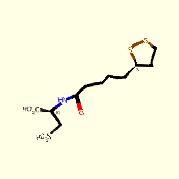 O=C(CCCC[C@@H]1CCSS1)N[C@@H](CS(=O)(=O)O)C(=O)O